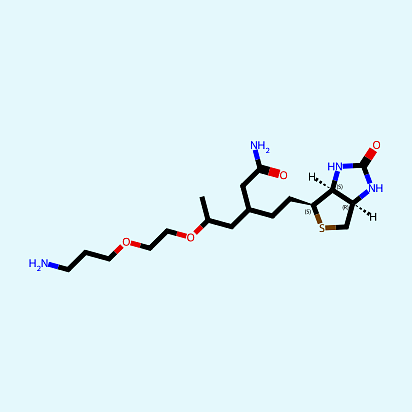 CC(CC(CC[C@@H]1SC[C@@H]2NC(=O)N[C@@H]21)CC(N)=O)OCCOCCCN